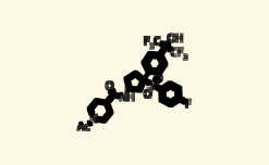 CC(=O)N1CCC(C(=O)N[C@@H]2CC[C@](c3ccc(C(O)(C(F)(F)F)C(F)(F)F)cc3)(S(=O)(=O)c3ccc(F)cc3)C2)CC1